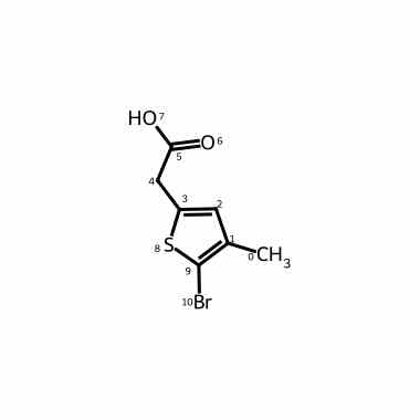 Cc1cc(CC(=O)O)sc1Br